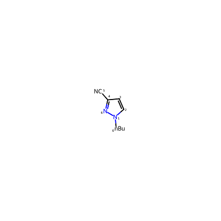 CCCCn1ccc(C#N)n1